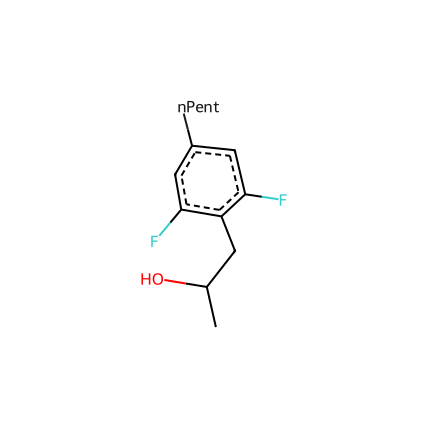 CCCCCc1cc(F)c(CC(C)O)c(F)c1